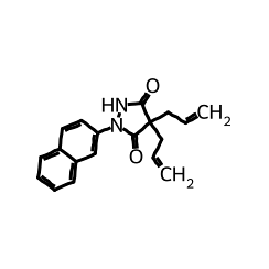 C=CCC1(CC=C)C(=O)NN(c2ccc3ccccc3c2)C1=O